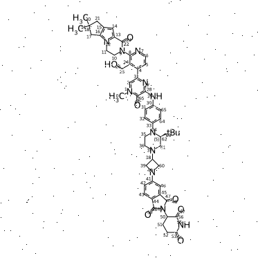 Cn1cc(-c2ccnc(N3CCn4c(cc5c4CC(C)(C)C5)C3=O)c2CO)nc(Nc2ccc(N3CCN(C4CN(c5ccc6c(c5)C(=O)N(C5CCC(=O)NC5=O)C6=O)C4)C[C@@H]3C(C)(C)C)cc2)c1=O